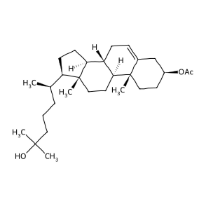 CC(=O)O[C@H]1CC[C@@]2(C)C(=CC[C@H]3[C@@H]4CC[C@H]([C@H](C)CCCC(C)(C)O)[C@@]4(C)CC[C@@H]32)C1